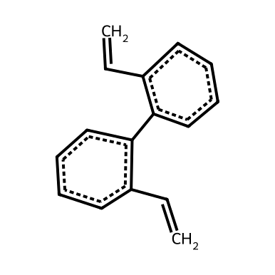 C=Cc1ccccc1-c1ccccc1C=C